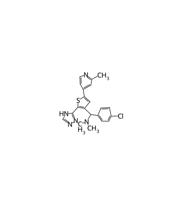 Cc1cc(-c2cc(C(c3ccc(Cl)cc3)N(C)C)c(-c3nnc[nH]3)s2)ccn1